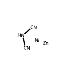 N#CNC#N.[Ni].[Zn]